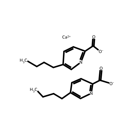 CCCCc1ccc(C(=O)[O-])nc1.CCCCc1ccc(C(=O)[O-])nc1.[Ca+2]